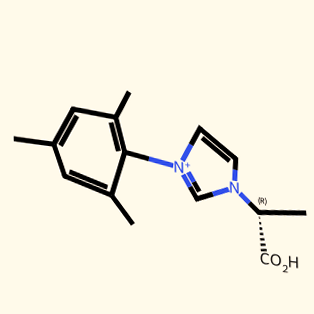 Cc1cc(C)c(-[n+]2ccn([C@H](C)C(=O)O)c2)c(C)c1